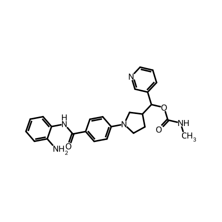 CNC(=O)OC(c1cccnc1)C1CCN(c2ccc(C(=O)Nc3ccccc3N)cc2)C1